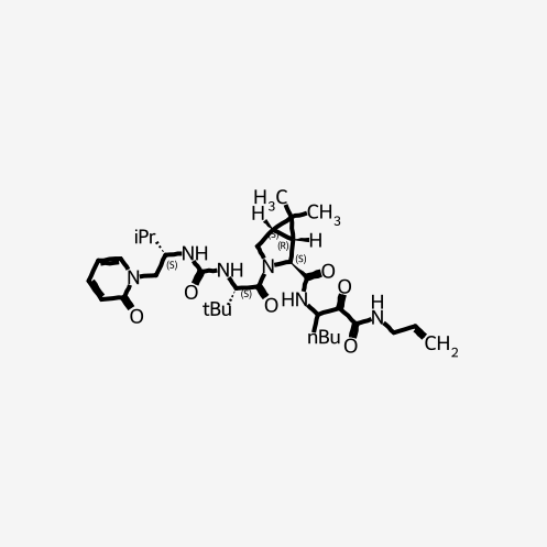 C=CCNC(=O)C(=O)C(CCCC)NC(=O)[C@@H]1[C@@H]2[C@H](CN1C(=O)[C@@H](NC(=O)N[C@H](Cn1ccccc1=O)C(C)C)C(C)(C)C)C2(C)C